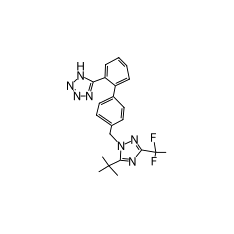 CC(C)(C)c1nc(C(C)(F)F)nn1Cc1ccc(-c2ccccc2-c2nnn[nH]2)cc1